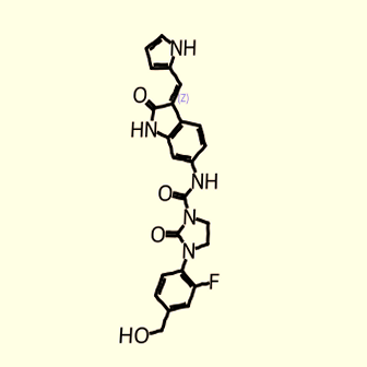 O=C1Nc2cc(NC(=O)N3CCN(c4ccc(CO)cc4F)C3=O)ccc2/C1=C/c1ccc[nH]1